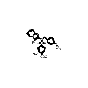 CC(C)c1c(N(Cc2ccc(OC(F)(F)F)cc2)S(=O)(=O)c2ccc(C(=O)[O-])cc2)nc2ccccn12.[Na+]